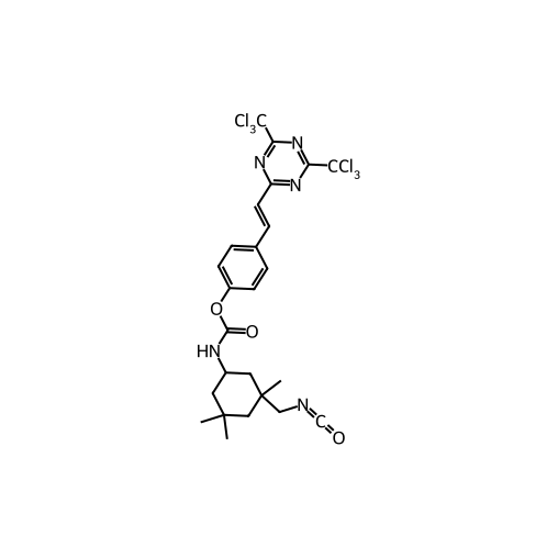 CC1(C)CC(NC(=O)Oc2ccc(/C=C/c3nc(C(Cl)(Cl)Cl)nc(C(Cl)(Cl)Cl)n3)cc2)CC(C)(CN=C=O)C1